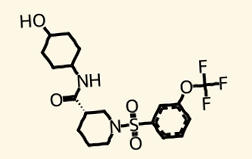 O=C(NC1CCC(O)CC1)[C@H]1CCCN(S(=O)(=O)c2cccc(OC(F)(F)F)c2)C1